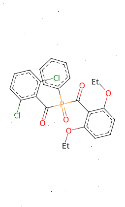 CCOc1cccc(OCC)c1C(=O)P(=O)(C(=O)c1c(Cl)cccc1Cl)c1ccccc1